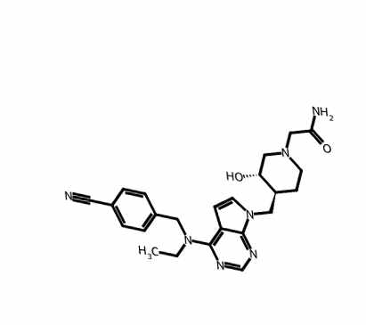 CCN(Cc1ccc(C#N)cc1)c1ncnc2c1ccn2C[C@@H]1CCN(CC(N)=O)C[C@H]1O